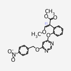 CO/C=C(/C(=O)OC)c1ccccc1Oc1cc(OCc2ccc([N+](=O)[O-])cc2)ncn1